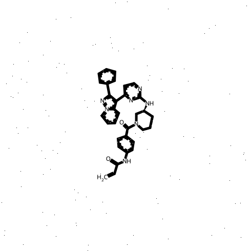 C=CC(=O)Nc1ccc(C(=O)N2CCC[C@H](Nc3nccc(-c4c(-c5ccccc5)nn5ccccc45)n3)C2)cc1